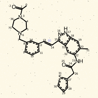 CC(=O)N1CCN(Cc2cccc(/C=C/c3n[nH]c4cc(C)c(NC(=O)Cc5cccs5)cc34)c2)CC1